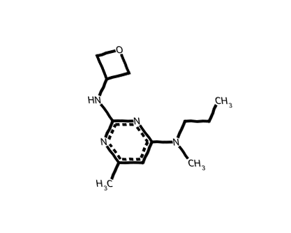 CCCN(C)c1cc(C)nc(NC2COC2)n1